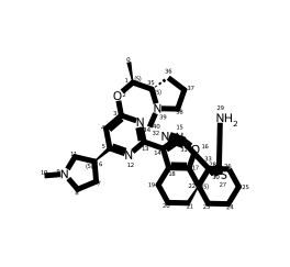 C[C@H](Oc1cc([C@H]2CCN(C)C2)nc(-c2noc3c2CCC[C@@]32CCCc3sc(N)c(C#N)c32)n1)[C@@H]1CCCN1C